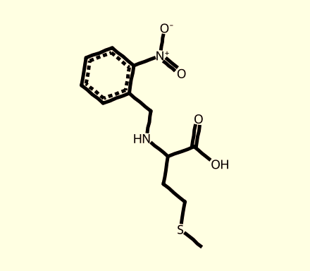 CSCCC(NCc1ccccc1[N+](=O)[O-])C(=O)O